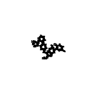 CCCCc1nc2cc(-c3cc(C)cc[n+]3[O-])c(C)nc2n1Cc1ccc(-c2ccccc2-c2nnn[nH]2)cc1